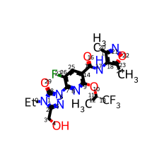 CCn1c(CO)nn(-c2nc(O[C@@H](C)C(F)(F)F)c(C(=O)Nc3c(C)noc3C)cc2F)c1=O